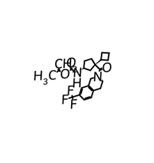 C=C(C)OC(=O)N[C@@H]1CC[C@@](C(=O)N2CCc3ccc(C(F)(F)F)cc3C2)(C2CCC2)C1